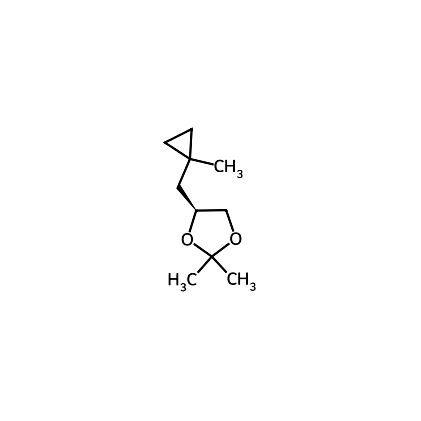 CC1(C[C@H]2COC(C)(C)O2)CC1